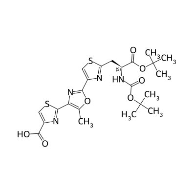 Cc1oc(-c2csc(C[C@H](NC(=O)OC(C)(C)C)C(=O)OC(C)(C)C)n2)nc1-c1nc(C(=O)O)cs1